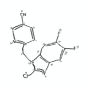 N#Cc1ccc(Cn2c(Cl)nc3cc(F)c(F)cc32)nc1